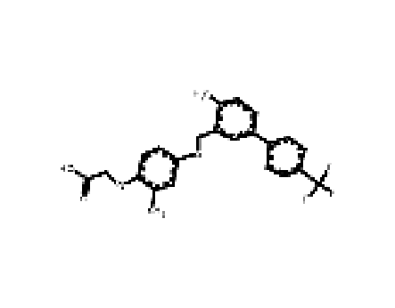 Cc1ccc(-c2ccc(C(F)(F)F)cc2)cc1CSc1ccc(OCC(=O)O)c(C)c1